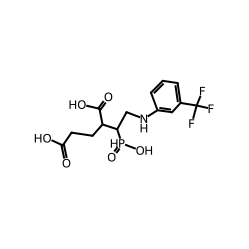 O=C(O)CCC(C(=O)O)C(CNc1cccc(C(F)(F)F)c1)[PH](=O)O